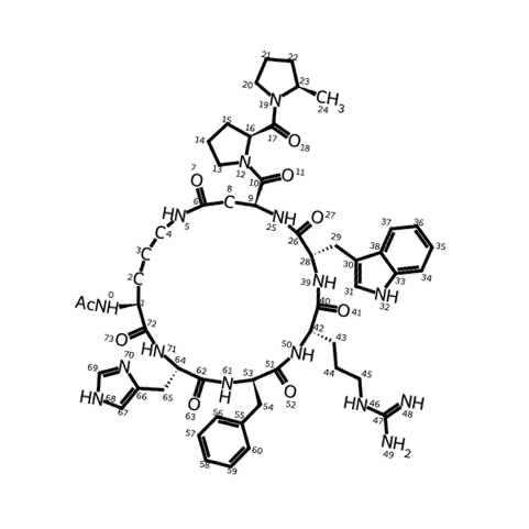 CC(=O)N[C@H]1CCCNC(=O)C[C@@H](C(=O)N2CCC[C@H]2C(=O)N2CCC[C@H]2C)NC(=O)[C@H](Cc2c[nH]c3ccccc23)NC(=O)[C@H](CCCNC(=N)N)NC(=O)[C@@H](Cc2ccccc2)NC(=O)[C@H](Cc2c[nH]cn2)NC1=O